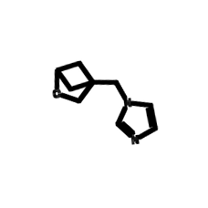 c1cn(CC23COC(C2)C3)cn1